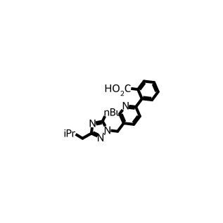 CCCCc1nc(CC(C)C)nn1Cc1ccc(-c2ccccc2C(=O)O)nc1